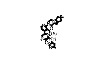 CC(=O)OCc1c(-c2cn(C)c(=O)c(Nc3cc(C)ns3)n2)ccnc1N1CCn2c(cc3c2CC(C)(C)C3)C1=O